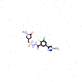 CN1CC(CS(=O)(=O)NNC(=O)c2cc(-c3cn(C)cn3)cc(Cl)c2F)CC1=O